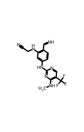 CNc1nc(Nc2ccc(C=N)c(NCC#N)c2)ncc1C(F)(F)F